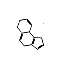 [CH]1C=CC2=C1C1C=CCCC1=CC2